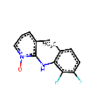 Cc1ccc[n+]([O-])c1Nc1c(C(=O)O)ccc(F)c1F